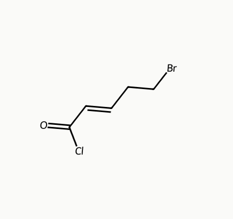 O=C(Cl)/C=C/CCBr